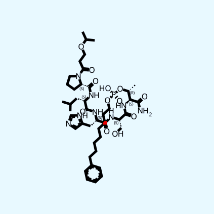 CC(C)C[C@H](NC(=O)[C@@H]1CCCN1C(=O)CCOC(C)C)C(=O)N[C@@H](Cc1cnc[nH]1)C(=O)N[C@@H](CO)C(=O)N[C@H](C(N)=O)[C@@H](C)OP(=O)(O)OCCCCCCCCc1ccccc1